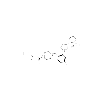 CC(OC(=O)N1CCN(Cc2ccc(Cl)cc2N2CC[C@@H](N3CCCS3(=O)=O)C2)CC1)C(F)(F)F